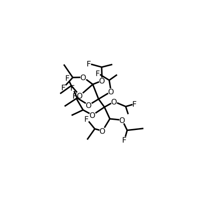 CC(F)OC(OC(C)F)C(OC(C)F)(OC(C)F)C(OC(C)F)(OC(C)F)C(OC(C)F)(OC(C)F)OC(C)F